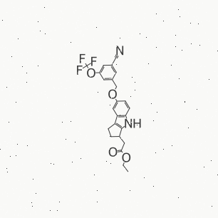 CCOC(=O)CC1CCc2c1[nH]c1ccc(OCc3cc(C#N)cc(OC(F)(F)F)c3)cc21